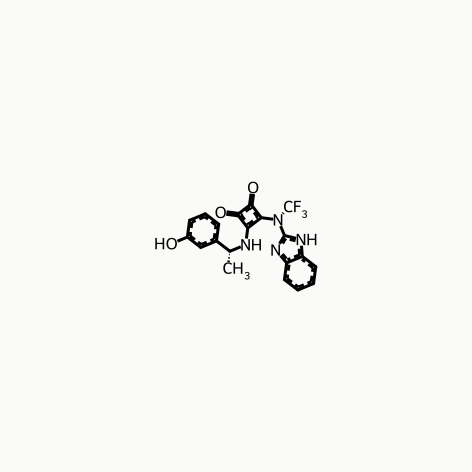 C[C@@H](Nc1c(N(c2nc3ccccc3[nH]2)C(F)(F)F)c(=O)c1=O)c1cccc(O)c1